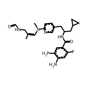 C/C(=C/N(C)c1ccc(CC(CC2CC2)NC(=O)c2cc(P)c(N)cc2F)cn1)CNC=O